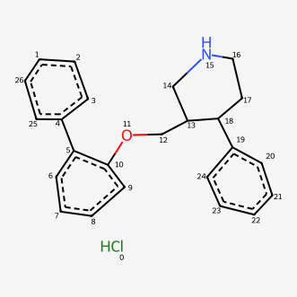 Cl.c1ccc(-c2ccccc2OCC2CNCCC2c2ccccc2)cc1